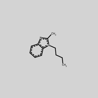 CCCCn1c(C)nc2ccccc21